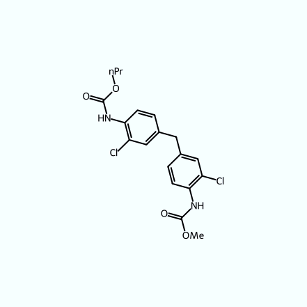 CCCOC(=O)Nc1ccc(Cc2ccc(NC(=O)OC)c(Cl)c2)cc1Cl